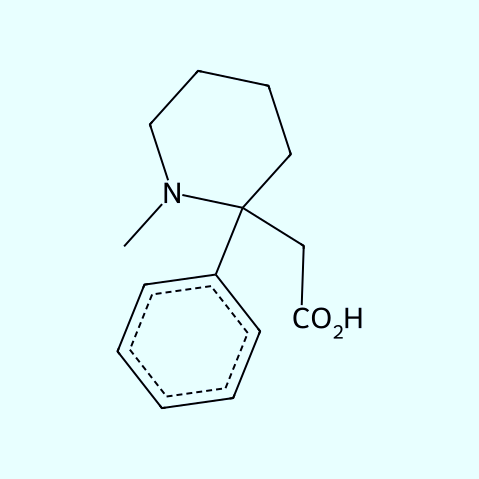 CN1CCCCC1(CC(=O)O)c1ccccc1